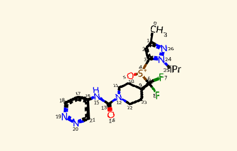 Cc1cc([S+]([O-])C(F)(F)C2CCN(C(=O)Nc3ccnnc3)CC2)n(C(C)C)n1